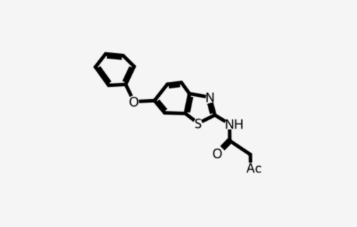 CC(=O)CC(=O)Nc1nc2ccc(Oc3ccccc3)cc2s1